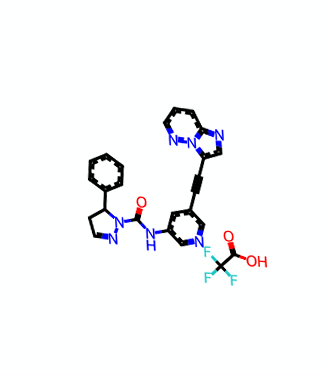 O=C(Nc1cncc(C#Cc2cnc3cccnn23)c1)N1N=CCC1c1ccccc1.O=C(O)C(F)(F)F